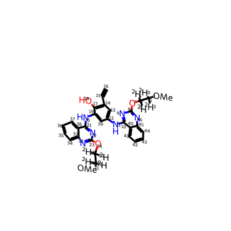 [2H]C([2H])(OC)C([2H])([2H])Oc1nc(Nc2cc(C#C)c(O)c(Nc3nc(OC([2H])([2H])C([2H])([2H])OC)nc4ccccc34)c2)c2ccccc2n1